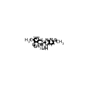 COc1ccc2[nH]c([S+]([O-])Cc3ncc(C)c(OC)c3C)nc2n1.[LiH]